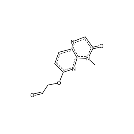 Cn1c(=O)cnc2ccc(OCC=O)nc21